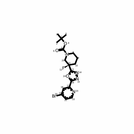 CC(C)(C)OC(=O)N1CCC[C@](F)(c2nnc(-c3cc(Br)ccn3)o2)C1